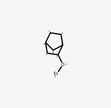 CCOC1CC2CCC1C2